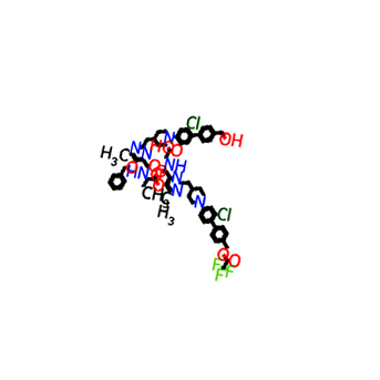 CCC(NC(=O)c1nc(CC2CCN(c3ccc(-c4ccc(CO)cc4)c(Cl)c3)CC2)nc(C)c1OCc1ccccc1)C(=O)Oc1c(C)nc(CC2CCN(c3ccc(-c4ccc(COC(=O)C(F)(F)F)cc4)c(Cl)c3)CC2)nc1C(=O)NCC(=O)O